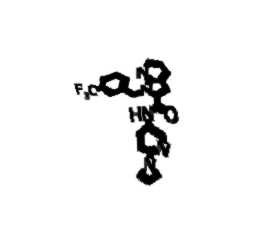 O=C(Nc1ccc(N2CCC2)nc1)c1cc2cccnc2n1Cc1cccc(C(F)(F)F)c1